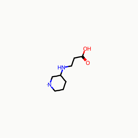 O=C(O)CCNC1CCC[N]C1